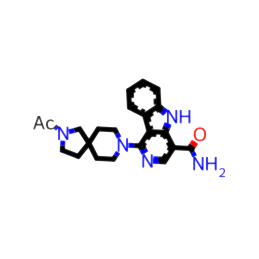 CC(=O)N1CCC2(CCN(c3ncc(C(N)=O)c4[nH]c5ccccc5c34)CC2)C1